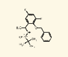 CC(N[S@@+]([O-])C(C)(C)C)c1cc(F)cc(F)c1OCc1ccccc1